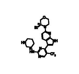 CC[C@H]1COCCN1c1ccc2c(-c3nc(N[C@H]4CCCNC4)ncc3C(F)(F)F)c[nH]c2n1